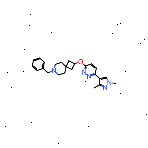 Cc1nn(C)cc1-c1ccc(OC2CC3(CCN(Cc4ccccc4)CC3)C2)nn1